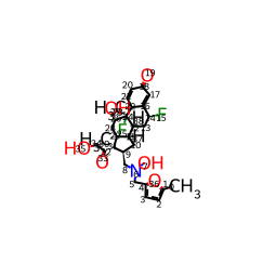 Cc1ccc(CN(O)C[C@@H]2C[C@H]3[C@@H]4C[C@H](F)C5=CC(=O)C=C[C@]5(C)[C@@]4(F)[C@@H](O)C[C@]3(C)[C@H]2C(=O)CO)o1